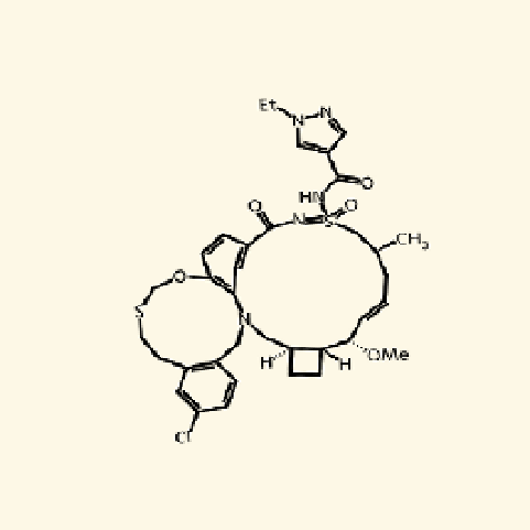 CCn1cc(C(=O)NS2(=O)=NC(=O)c3ccc4c(c3)N(Cc3ccc(Cl)cc3CCSCO4)C[C@@H]3CC[C@H]3[C@@H](OC)/C=C/C[C@H](C)C2)cn1